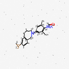 CSc1ccc2c(c1)CCCN(c1cc(C)c(NC=O)c(C)c1)C2